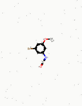 O=C=Nc1cc(Br)cc(OC(F)(F)F)c1